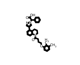 Cc1cccc(OCCCC(=O)N2CCCc3c(-c4cnn(C(C(=O)O)c5ccccc5)c4)cccc32)c1C